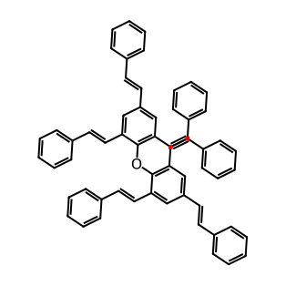 C(=Cc1cc(C=Cc2ccccc2)c(Oc2c(C=Cc3ccccc3)cc(C=Cc3ccccc3)cc2C=Cc2ccccc2)c(C=Cc2ccccc2)c1)c1ccccc1